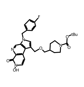 CC(C)(C)OC(=O)N1CCC(COCc2cn(Cc3ccc(F)cc3)c3cnc4c(=O)n(O)ccc4c23)CC1